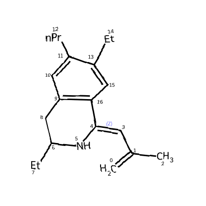 C=C(C)/C=C1\NC(CC)Cc2cc(CCC)c(CC)cc21